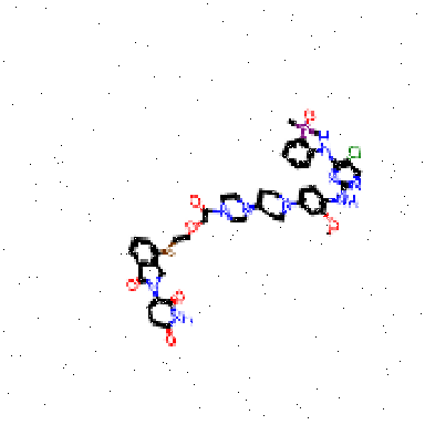 COc1cc(N2CCC(N3CCN(C(=O)COCCSc4cccc5c4CN(C4CCC(=O)NC4=O)C5=O)CC3)CC2)ccc1Nc1ncc(Cl)c(Nc2ccccc2P(C)(C)=O)n1